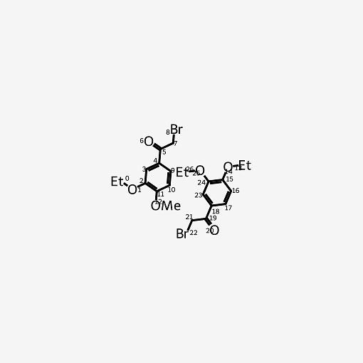 CCOc1cc(C(=O)CBr)ccc1OC.CCOc1ccc(C(=O)CBr)cc1OCC